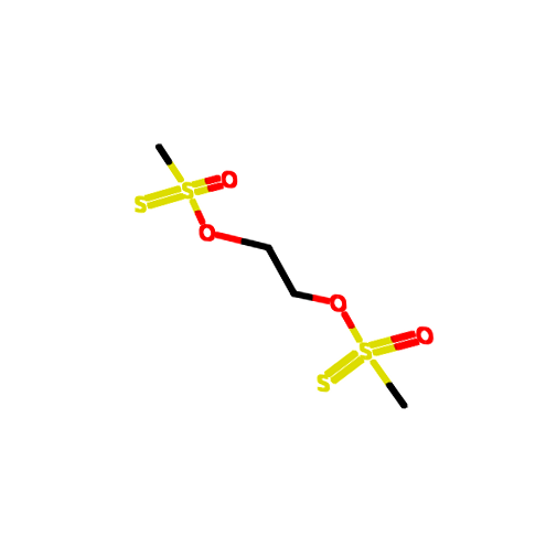 CS(=O)(=S)OCCOS(C)(=O)=S